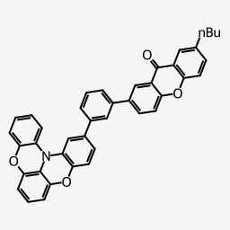 CCCCc1ccc2oc3ccc(-c4cccc(-c5ccc6c(c5)N5c7ccccc7Oc7cccc(c75)O6)c4)cc3c(=O)c2c1